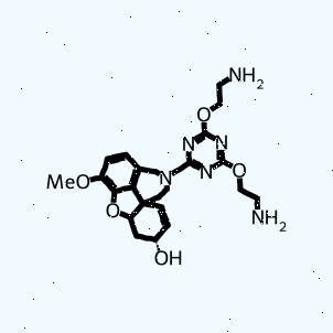 COc1ccc2c3c1OC1C[C@@H](O)C=CC31CCN(c1nc(OCCN)nc(OCCN)n1)C2